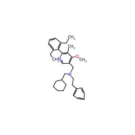 CCc1cccc(CC)c1-c1ncc(CN(CCc2ccccc2)CC2CCCCC2)c(OC)c1C